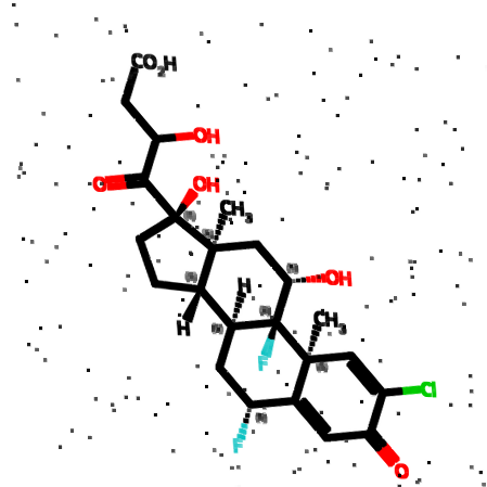 C[C@]12C=C(Cl)C(=O)C=C1[C@H](F)C[C@H]1[C@@H]3CC[C@](O)(C(=O)C(O)CC(=O)O)[C@@]3(C)C[C@H](O)[C@@]12F